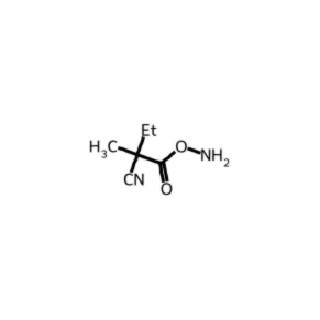 CCC(C)(C#N)C(=O)ON